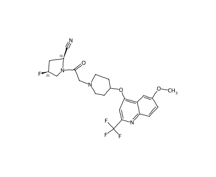 COc1ccc2nc(C(F)(F)F)cc(OC3CCN(CC(=O)N4C[C@@H](F)C[C@H]4C#N)CC3)c2c1